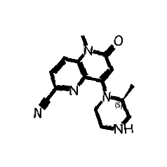 C[C@H]1CNCCN1c1cc(=O)n(C)c2ccc(C#N)nc12